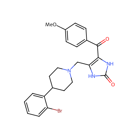 COc1ccc(C(=O)c2[nH]c(=O)[nH]c2CN2CCC(c3ccccc3Br)CC2)cc1